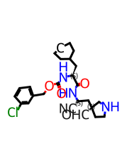 N#C[C@H](C[C@@]1(C=O)CCNC1)NC(=O)[C@H](CC1CCCCC1)NC(=O)OCc1cccc(Cl)c1